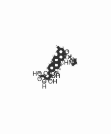 CC1CCC2(C(=O)OCN3C=CCN3)CCC3C(=CCC4C3(C)CCC3C4(C)CCC(C4OC(C(=O)O)C(O)C(O)C4O)[C@@]3(C)O)C2C1